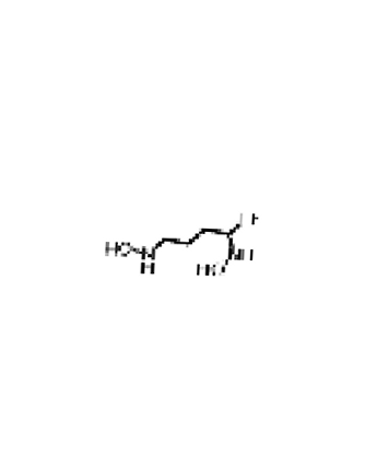 CCC(CCCNO)NO